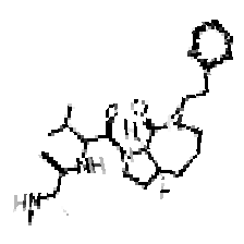 C=C(N[C@H](C(=O)N1CC[C@@H]2CCCN(CCc3ccccc3)C(=O)[C@@H]21)C(C)C)[C@H](C)NC